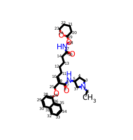 CCN1CCC(NC(=O)C(=CCCCCC(=O)NOC2CCCCO2)COc2cccc3ccccc23)C1